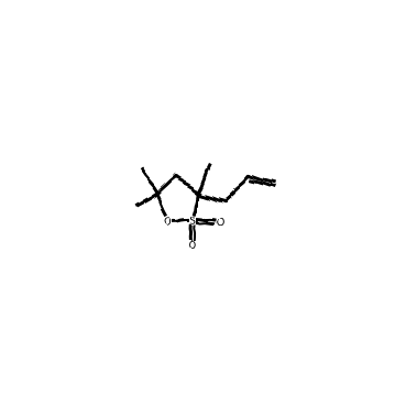 C=CCC1(C)CC(C)(C)OS1(=O)=O